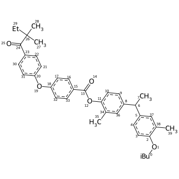 CCC(C)Oc1ccc(C(C)c2ccc(OC(=O)c3ccc(Oc4ccc(C(=O)C(C)(C)CC)cc4)cc3)c(C)c2)cc1C